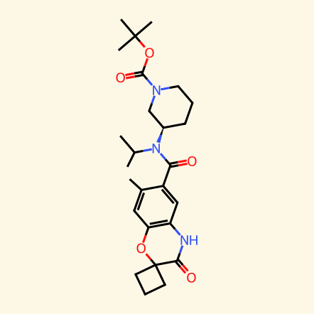 Cc1cc2c(cc1C(=O)N(C(C)C)[C@@H]1CCCN(C(=O)OC(C)(C)C)C1)NC(=O)C1(CCC1)O2